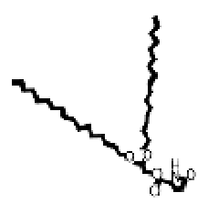 CCCCCCCC=CCCCCCCCCOCC(COC(=O)C1CCC(=O)N1)OCCCCCCCCC=CCCCCCCC